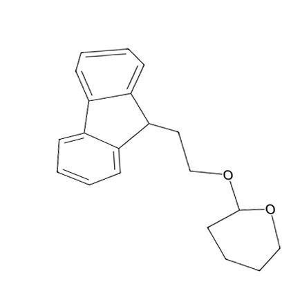 c1ccc2c(c1)-c1ccccc1C2CCOC1CCCCO1